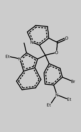 CCN(CC)c1ccc(C2(c3c(C)n(CC)c4ccccc34)OC(=O)c3cccnc32)cc1Br